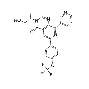 CC(CO)n1cnc2c(-c3cccnc3)nc(-c3ccc(OC(F)(F)F)cc3)cc2c1=O